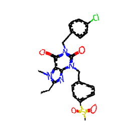 CCc1nc2c(c(=O)n(Cc3ccc(Cl)cc3)c(=O)n2Cc2ccc(S(C)(=O)=O)cc2)n1C